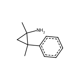 CC1(N)CC1(C)c1ccccc1